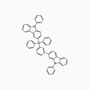 c1ccc(-n2c3ccccc3c3cc([Si](c4ccccc4)(c4ccccc4)c4cccc(-c5ccc6c7ccccc7n(-c7ccccc7)c6c5)c4)ccc32)cc1